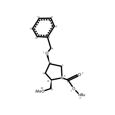 CCCCOC(=O)N1C[C@H](OCc2ccccc2)C[C@@H]1COC